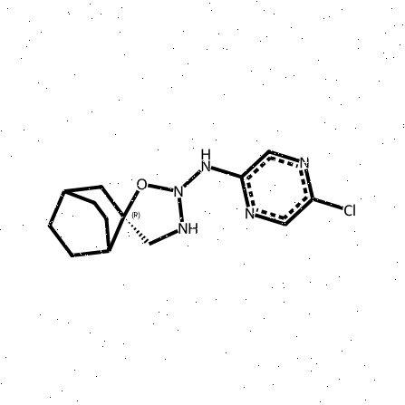 Clc1cnc(NN2NC[C@]3(CC4CCC3CC4)O2)cn1